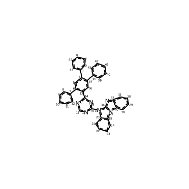 c1ccc(-c2cc(-c3ccccc3)c(-c3ncnc(-n4c5ccccc5n5c6ccccc6nc45)n3)cc2-c2ccccc2)cc1